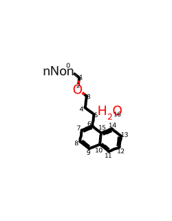 CCCCCCCCCCOCCCc1cccc2ccccc12.O